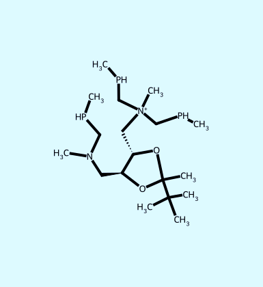 CPCN(C)C[C@@H]1OC(C)(C(C)(C)C)O[C@H]1C[N+](C)(CPC)CPC